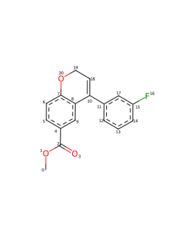 COC(=O)c1ccc2c(c1)C(c1cccc(F)c1)=CCO2